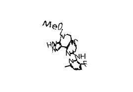 COCCN1CCc2sc(Nc3nc(C)ccc3F)nc2-c2cn[nH]c21